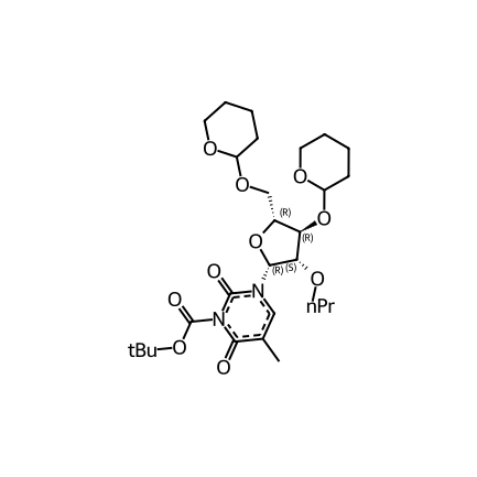 CCCO[C@H]1[C@H](OC2CCCCO2)[C@@H](COC2CCCCO2)O[C@H]1n1cc(C)c(=O)n(C(=O)OC(C)(C)C)c1=O